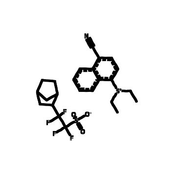 CC[S+](CC)c1ccc(C#N)c2ccccc12.O=S(=O)([O-])C(F)(F)C(F)(F)C1CC2CCC1C2